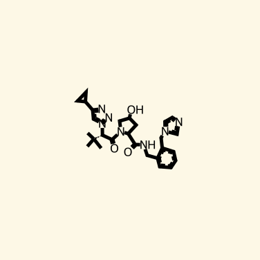 CC(C)(C)[C@@H](C(=O)N1CC(O)CC1C(=O)NCc1ccccc1Cn1ccnc1)n1cc(C2CC2)nn1